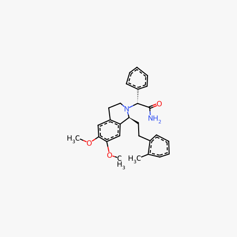 COc1cc2c(cc1OC)[C@H](CCc1ccccc1C)N([C@@H](C(N)=O)c1ccccc1)CC2